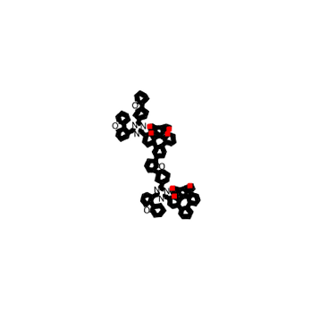 c1ccc2c(c1)-c1ccccc1C1(c3cc(-c4nc(-c5ccc6oc7c(-c8ccc9c(c8)-c8ccc(-c%10nc(-c%11ccc%12c(c%11)oc%11ccccc%11%12)nc(-c%11cccc%12oc%13ccccc%13c%11%12)n%10)cc8C8(c%10ccccc%10-9)c9ccccc9-c9ccccc98)cccc7c6c5)nc(-c5cccc6oc7ccccc7c56)n4)ccc3-2)c2ccccc2-c2ccccc21